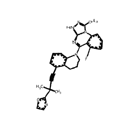 CC1=NNC2N=C(N3CCCc4c(C#CC(C)(C)c5ncco5)cccc43)c3c(F)cccc3N12